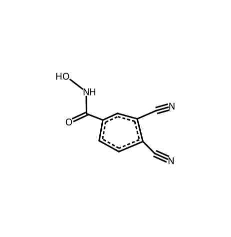 N#Cc1ccc(C(=O)NO)cc1C#N